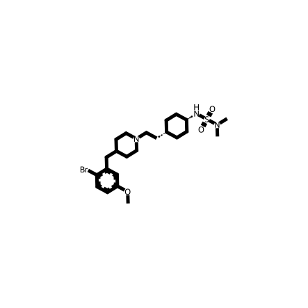 COc1ccc(Br)c(CC2CCN(CC[C@H]3CC[C@@H](NS(=O)(=O)N(C)C)CC3)CC2)c1